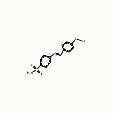 CCCOc1ccc(/C=N/c2ccc(S(N)(=O)=O)cc2)cc1